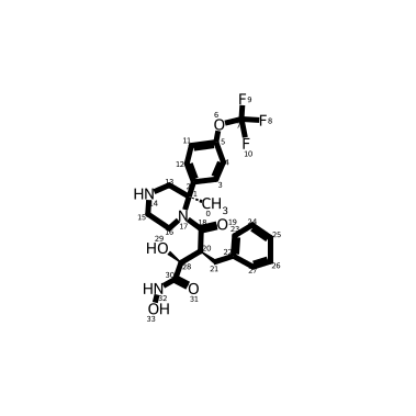 C[C@@]1(c2ccc(OC(F)(F)F)cc2)CNCCN1C(=O)[C@@H](Cc1ccccc1)[C@H](O)C(=O)NO